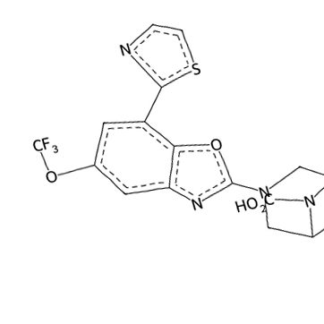 O=C(O)N1C2CC1CN(c1nc3cc(OC(F)(F)F)cc(-c4nccs4)c3o1)C2